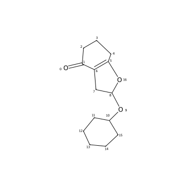 O=C1CCCC2=C1CC(OC1CCCCC1)O2